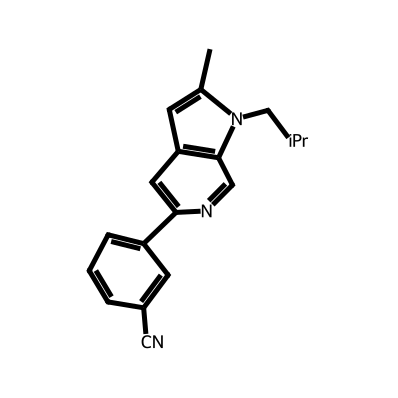 Cc1cc2cc(-c3cccc(C#N)c3)ncc2n1CC(C)C